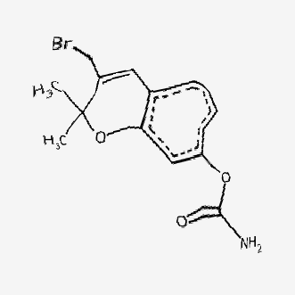 CC1(C)Oc2cc(OC(N)=O)ccc2C=C1Br